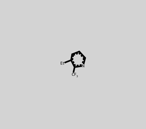 CCc1cccnc1C(F)(F)F